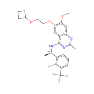 COc1cc2nc(C)nc(N[C@H](C)c3cccc(C(F)(F)F)c3F)c2cc1OCCOC1CCC1